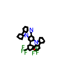 N#Cc1cc(-n2c3ccccc3c3ccccc32)c(-c2cc(C(F)(F)F)cc(C(F)(F)F)c2)cc1-n1c2ccccc2c2ccccc21